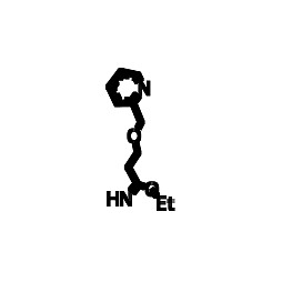 CCOC(=N)CCOCc1ccccn1